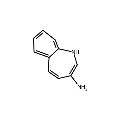 NC1=CNc2ccccc2C=C1